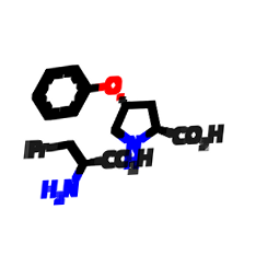 CC(C)C[C@H](N)C(=O)O.O=C(O)[C@@H]1C[C@@H](Oc2ccccc2)CN1